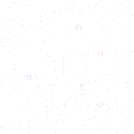 CCC(O)Cc1cc(C(F)(F)F)ccc1N